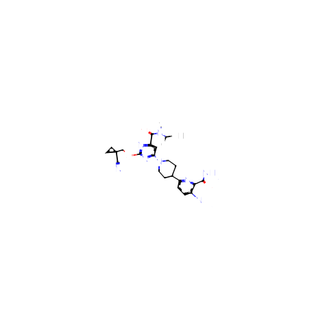 CC(C)N(C)C(=O)c1cc(N2CCC(c3ccc(N)c(C(N)=O)n3)CC2)nc(OCC2(C#N)CC2)n1